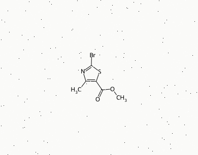 COC(=O)c1sc(Br)nc1C